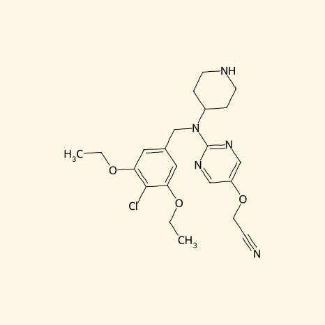 CCOc1cc(CN(c2ncc(OCC#N)cn2)C2CCNCC2)cc(OCC)c1Cl